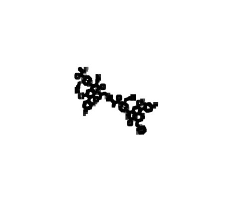 C=C(F)C(=O)N1CCN(c2c(C#N)c(=O)n3c4c(c(-c5ccc(F)cc5F)c(Cl)cc24)OCC3CN2CC(C(=C)C(=O)N3CCN(c4nc(=O)n5c6c(c(-c7ccc(F)cc7F)c(Cl)cc46)SCC5Cn4cccn4)C[C@@H]3CC#N)C2)C[C@@H]1CC#N